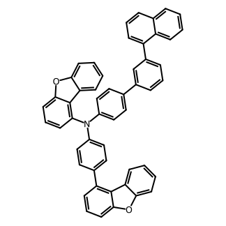 c1cc(-c2ccc(N(c3ccc(-c4cccc5oc6ccccc6c45)cc3)c3cccc4oc5ccccc5c34)cc2)cc(-c2cccc3ccccc23)c1